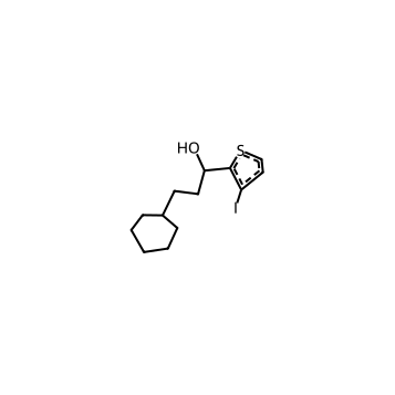 OC(CCC1CCCCC1)c1sccc1I